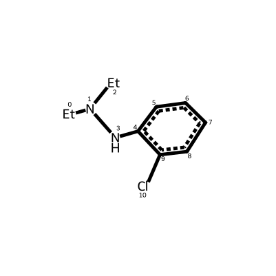 CCN(CC)Nc1ccccc1Cl